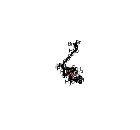 CC[C@H](C)[C@@H]([C@@H](CC(=O)N1CCC[C@H]1[C@H](OC)[C@@H](C)C(=O)N[C@@H](Cc1ccccc1)C(=O)NS(=O)(=O)C1CC1)OC)N(C)C(=O)[C@@H](NC(=O)[C@H](C(C)C)N(C)C(=O)OCc1ccc(NC(=O)[C@H](CCCNC(N)=O)NC(=O)[C@@H](NC(=O)CCOCCOCCOCCOCCNC(=O)c2ccc3nc(CBr)c(CBr)nc3c2)C(C)C)cc1)C(C)C